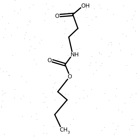 CCCCOC(=O)NCCC(=O)O